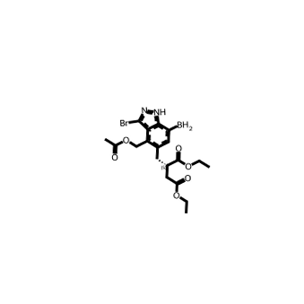 Bc1cc(C[C@@H](CC(=O)OCC)C(=O)OCC)c(COC(C)=O)c2c(Br)n[nH]c12